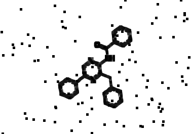 O=C(Nc1ncc(-c2ccccc2)nc1Cc1ccccc1)c1ccccc1